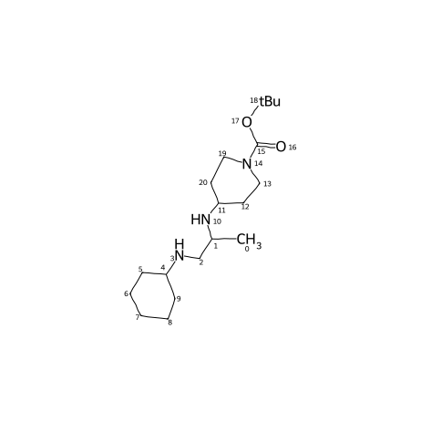 CC(CNC1CCCCC1)NC1CCN(C(=O)OC(C)(C)C)CC1